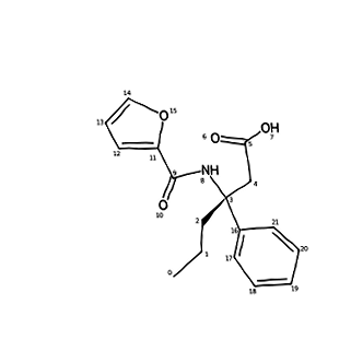 CCC[C@](CC(=O)O)(NC(=O)c1ccco1)c1ccccc1